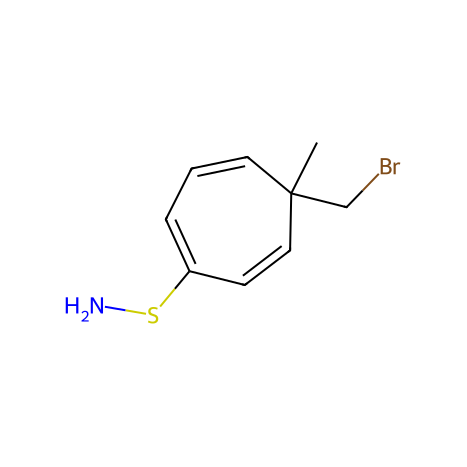 CC1(CBr)C=CC=C(SN)C=C1